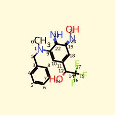 CN(Cc1ccccc1)C1=CC(C(O)C(F)(F)F)=C/C(=N/O)C1=N